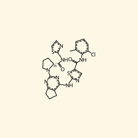 Cc1cccc(Cl)c1NC(=O)c1cnc(Nc2nc(N3CCC[C@@H]3C(=O)Nc3nccs3)nc3c2CCC3)s1